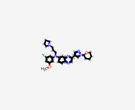 COc1cc(F)cc(N(CCCN2CCCC2)c2ccc3ncc(-c4cnn(C5CCCCO5)c4)nc3c2)c1